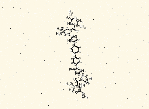 COC(=O)N[C@H](C(=O)N1C[Si](C)(C)C[C@H]1c1ncc(-c2ccc(-c3ccc(-c4[nH]c([C@@H]5C[C@H]6C[C@H]6N5C(=O)[C@@H](NC(=O)OC)C(C)C)nc4F)cc3)cc2)[nH]1)C(C)C